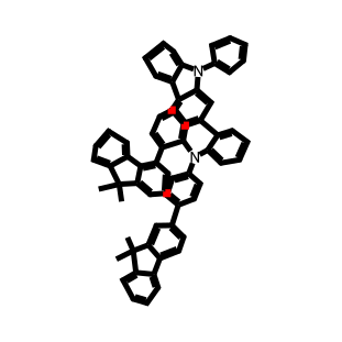 CC1(C)c2ccccc2-c2ccc(-c3ccc(N(c4ccccc4-c4ccc5c6ccccc6n(-c6ccccc6)c5c4)c4ccccc4-c4cccc5c4-c4ccccc4C5(C)C)cc3)cc21